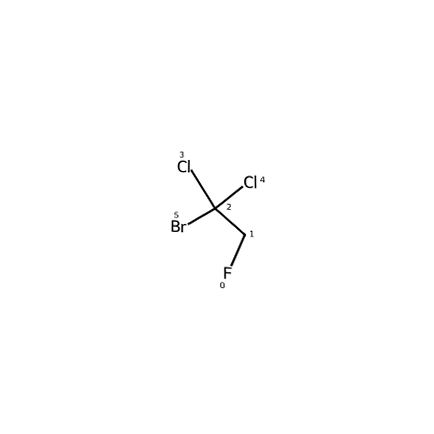 FCC(Cl)(Cl)Br